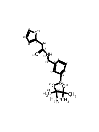 CC1(C)OB(c2cccc(CNC(=O)Cc3cccs3)c2)OC1(C)C